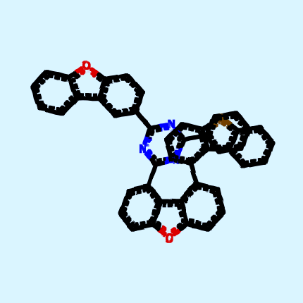 c1ccc(-c2nc(-c3ccc4oc5ccccc5c4c3)nc(-c3cccc4oc5cccc(-c6cccc7sc8ccccc8c67)c5c34)n2)cc1